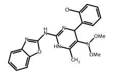 CON(OC)C1=C(C)NC(Nc2nc3ccccc3o2)=NC1c1ccccc1Cl